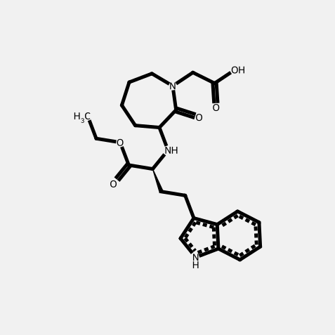 CCOC(=O)[C@H](CCc1c[nH]c2ccccc12)NC1CCCCN(CC(=O)O)C1=O